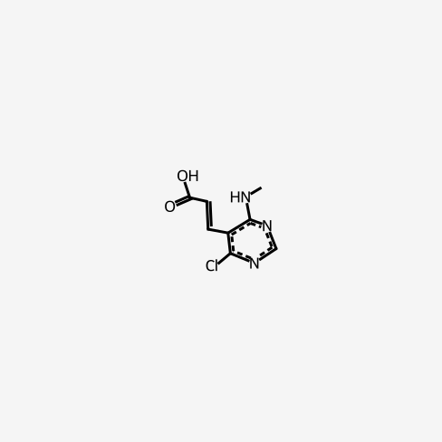 CNc1ncnc(Cl)c1C=CC(=O)O